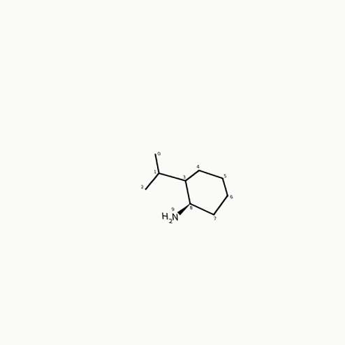 CC(C)C1CCCC[C@H]1N